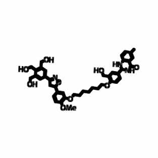 COc1ccc(C2CC(c3cc(CO)c(CO)c(CO)c3)=NO2)cc1OCCCCCCCOc1ccc(C2NC(=O)c3cc(C)ccc3N2)cc1CO